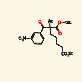 CCOC(=O)CCCCC(C(C)=O)(C(=O)OC(C)(C)C)C(=O)c1cccc([N+](=O)[O-])c1